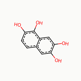 Oc1cc2ccc(O)c(O)c2cc1O